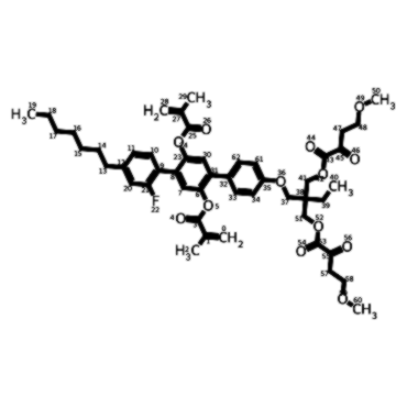 C=C(C)C(=O)Oc1cc(-c2ccc(CCCCCCC)cc2F)c(OC(=O)C(=C)C)cc1-c1ccc(OCC(CC)(COC(=O)C(=O)CCOC)COC(=O)C(=O)CCOC)cc1